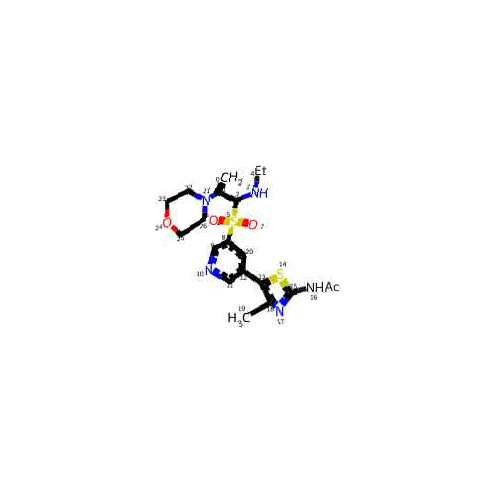 C=C(C(NCC)S(=O)(=O)c1cncc(-c2sc(NC(C)=O)nc2C)c1)N1CCOCC1